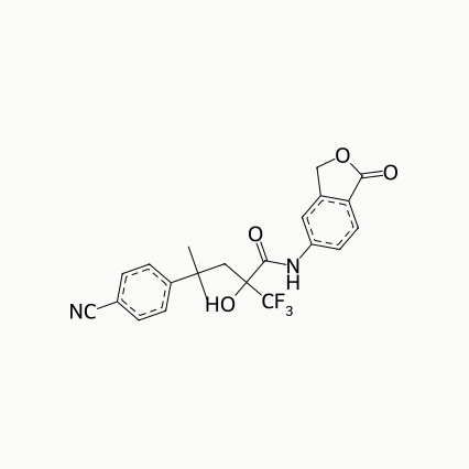 CC(C)(CC(O)(C(=O)Nc1ccc2c(c1)COC2=O)C(F)(F)F)c1ccc(C#N)cc1